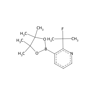 CC(C)(F)c1ncccc1B1OC(C)(C)C(C)(C)O1